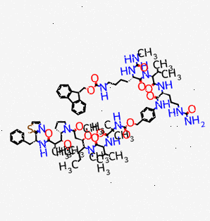 CC[C@H](C)[C@@H]([C@@H](CC(=O)N1CCC[C@H]1[C@H](OC)[C@@H](C)C(=O)N[C@@H](Cc1ccccc1)c1nccs1)OC)N(C)C(=O)[C@@H](NC(=O)C(C)(C)NC(=O)OCc1ccc(NC(=O)[C@H](CCCNC(N)=O)NC(=O)[C@@H](NC(=O)[C@H](CCCCNC(=O)OCC2c3ccccc3-c3ccccc32)NC(=O)NC)C(C)C)cc1)C(C)C